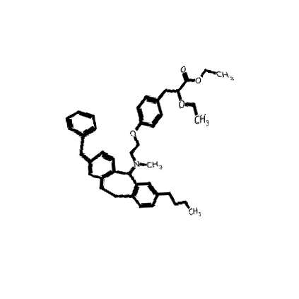 CCCCc1ccc2c(c1)C(N(C)CCOc1ccc(CC(OCC)C(=O)OCC)cc1)c1ccc(Cc3ccccc3)cc1CC2